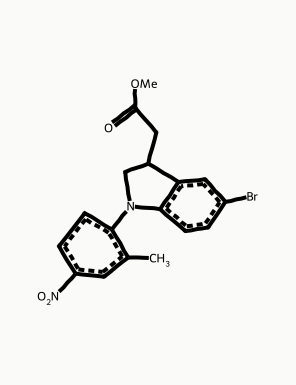 COC(=O)CC1CN(c2ccc([N+](=O)[O-])cc2C)c2ccc(Br)cc21